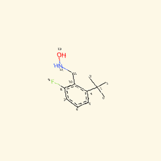 CC(C)(C)c1cccc(F)c1CNO